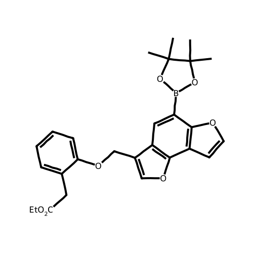 CCOC(=O)Cc1ccccc1OCc1coc2c1cc(B1OC(C)(C)C(C)(C)O1)c1occc12